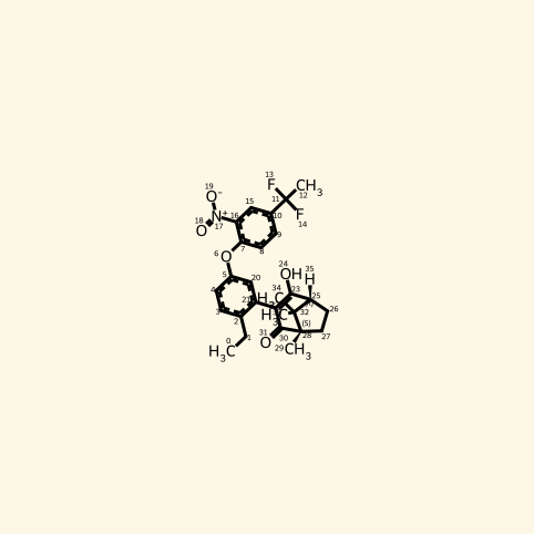 CCc1ccc(Oc2ccc(C(C)(F)F)cc2[N+](=O)[O-])cc1C1=C(O)[C@@H]2CC[C@](C)(C1=O)C2(C)C